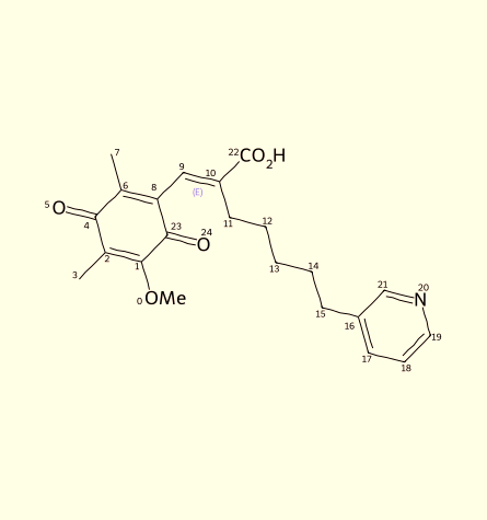 COC1=C(C)C(=O)C(C)=C(/C=C(\CCCCCc2cccnc2)C(=O)O)C1=O